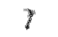 Cc1cnc(N2CCC(ON=C3CCC(c4cc(F)c(NC(=O)NC(C)(C)CO)cc4F)CC3)CC2)nc1